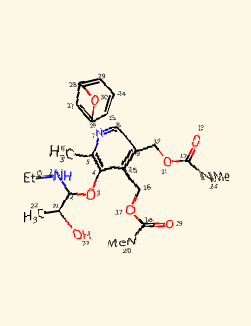 CCNC(Oc1c(C)ncc(COC(=O)NC)c1COC(=O)NC)C(C)O.c1cc2cc(c1)O2